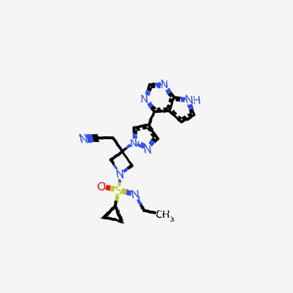 CCN=S(=O)(C1CC1)N1CC(CC#N)(n2cc(-c3ncnc4[nH]ccc34)cn2)C1